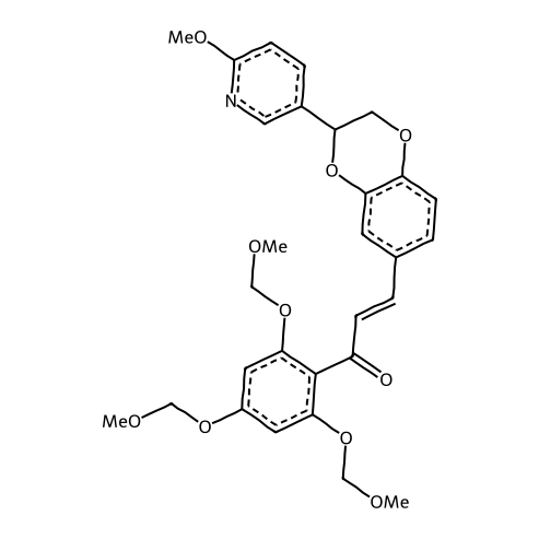 COCOc1cc(OCOC)c(C(=O)C=Cc2ccc3c(c2)OC(c2ccc(OC)nc2)CO3)c(OCOC)c1